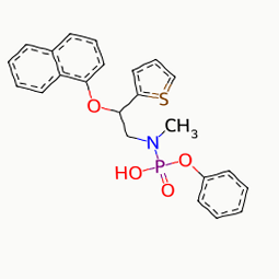 CN(CC(Oc1cccc2ccccc12)c1cccs1)P(=O)(O)Oc1ccccc1